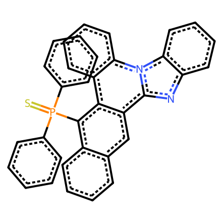 S=P(c1ccccc1)(c1ccccc1)c1c2ccccc2cc2c1c1ccccc1n1c3ccccc3nc21